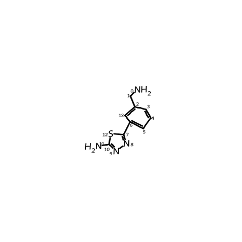 NCc1cccc(-c2nnc(N)s2)c1